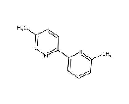 Cc1ccc(-c2cccc(C)n2)nn1